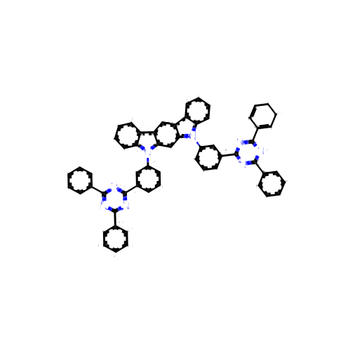 C1=CC(c2nc(-c3ccccc3)nc(-c3cccc(-n4c5ccccc5c5cc6c7ccccc7n(-c7cccc(-c8nc(-c9ccccc9)nc(-c9ccccc9)n8)c7)c6cc54)c3)n2)=CCC1